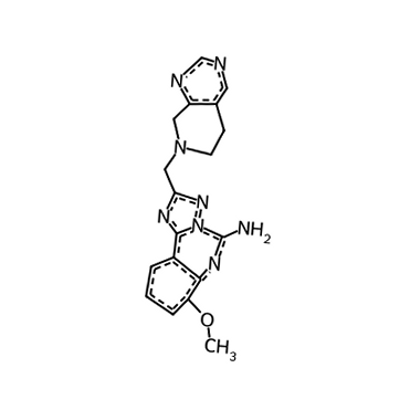 COc1cccc2c1nc(N)n1nc(CN3CCc4cncnc4C3)nc21